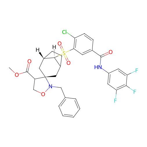 COC(=O)C1CON(Cc2ccccc2)[C@]12CC1CC[C@@H](C2)[C@H]1S(=O)(=O)c1cc(C(=O)Nc2cc(F)c(F)c(F)c2)ccc1Cl